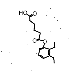 CCc1cccc(OC(=O)CCCCC(=O)O)c1CC